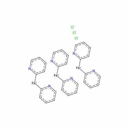 [Cl-].[Cl-].[Cl-].c1cc[c]([Fe+][c]2ccccn2)nc1.c1cc[c]([Fe+][c]2ccccn2)nc1.c1cc[c]([Fe+][c]2ccccn2)nc1